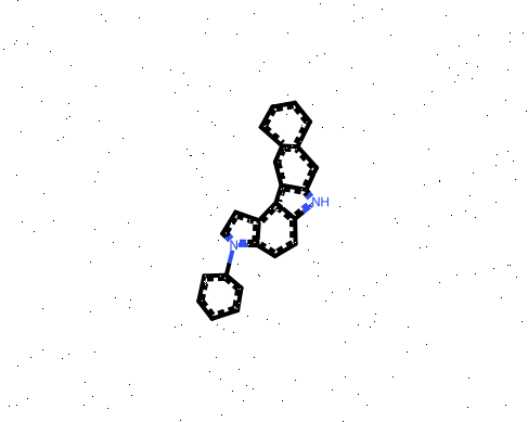 c1ccc(-n2ccc3c4c(ccc32)[nH]c2cc3ccccc3cc24)cc1